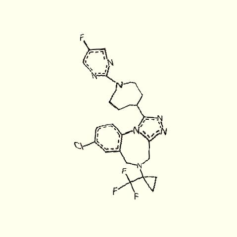 Fc1cnc(N2CCC(c3nnc4n3-c3ccc(Cl)cc3CN(C3(C(F)(F)F)CC3)C4)CC2)nc1